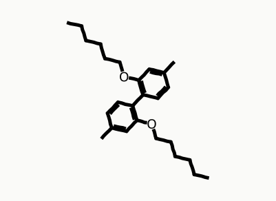 CCCCCCOc1cc(C)ccc1-c1ccc(C)cc1OCCCCCC